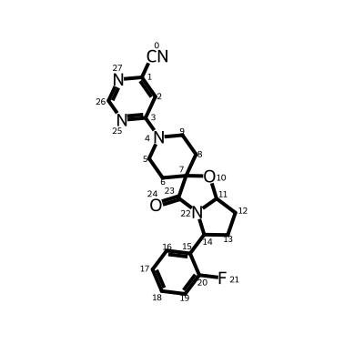 N#Cc1cc(N2CCC3(CC2)OC2CCC(c4ccccc4F)N2C3=O)ncn1